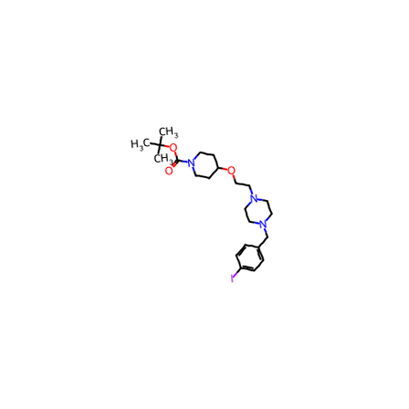 CC(C)(C)OC(=O)N1CCC(OCCN2CCN(Cc3ccc(I)cc3)CC2)CC1